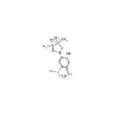 Br.CCC(C(=O)O)n1cc(B2OC(C)(C)C(C)(C)O2)ccc1=N